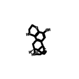 Oc1cc2c(c3c1OCCN3)C[C@@H]1NCC[C@]23CCCC[C@H]13